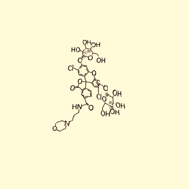 O=C(NCCCN1CCOCC1)c1ccc2c(c1)C(=O)OC21c2cc(Cl)c(O[C@H]3OC(CO)[C@@H](O)[C@@H](O)C3O)cc2Oc2cc(O[C@@H]3OC(CO)[C@H](O)C(O)[C@@H]3O)c(Cl)cc21